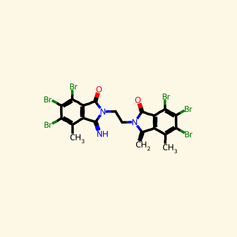 C=C1c2c(C)c(Br)c(Br)c(Br)c2C(=O)N1CCN1C(=N)c2c(C)c(Br)c(Br)c(Br)c2C1=O